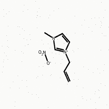 C=CC[n+]1ccn(C)c1.O=[N+]([O-])[O-]